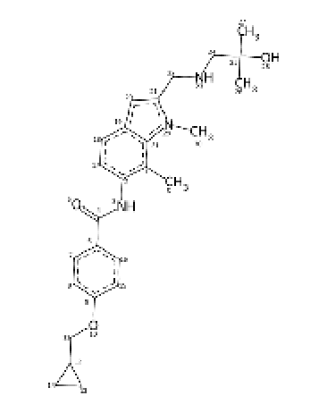 Cc1c(NC(=O)c2ccc(OCC3CC3)cc2)ccc2cc(CNCC(C)(C)O)n(C)c12